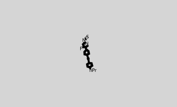 CCCc1ccc(C#Cc2ccc(-c3cnc(N=C=S)cc3F)cc2)cc1